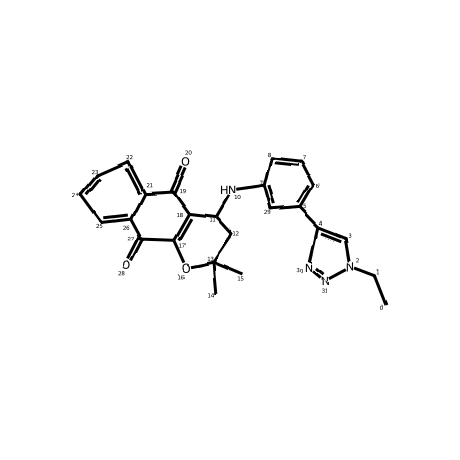 CCn1cc(-c2cccc(NC3CC(C)(C)OC4=C3C(=O)c3ccccc3C4=O)c2)nn1